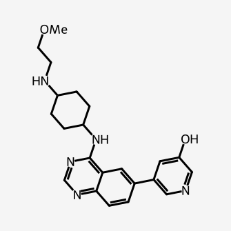 COCCNC1CCC(Nc2ncnc3ccc(-c4cncc(O)c4)cc23)CC1